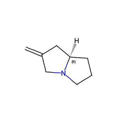 C=C1C[C@H]2CCCN2C1